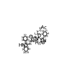 CC(=O)CCCCC[C@H](NC(=O)c1c(-c2ccccc2)noc1C)C(=O)NCCc1c(-c2ccccc2)[nH]c2ccccc12